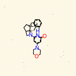 C[C@H]1CCC2CN(c3cc(N4CCOCC4)cc(=O)[nH]3)[C@@]21Cc1ccccc1